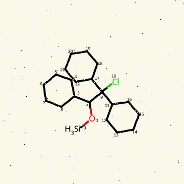 [SiH3]OC(C1CCCCC1)C(Cl)(C1CCCCC1)C1CCCCC1